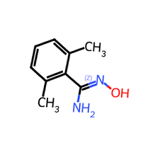 Cc1cccc(C)c1/C(N)=N/O